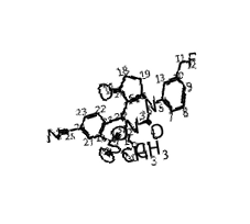 CCN1C(=O)N(c2cccc(CF)c2)C2=C(C(=O)CC2)C1c1ccc(C#N)cc1S(C)(=O)=O